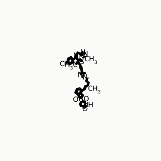 Cc1c(C#Cc2cn(CCCC(C)/C=C/c3cccc4c3CN(C3CCC(=O)NC3=O)C4=O)cn2)sc2c1C(c1ccc(Cl)cc1)=NCc1nnc(C)n1-2